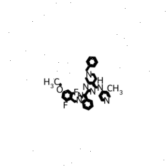 CCOc1cc(F)c(Cn2nc(-c3nc4c(c(Nc5ccncc5C)n3)CCN(Cc3ccccc3)C4)c3ccccc32)c(F)c1